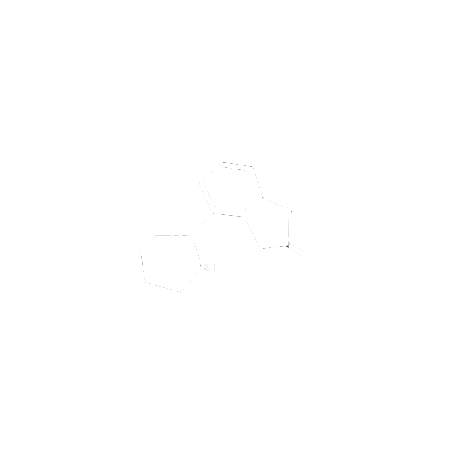 O=C1Cc2c(cccc2C2CCCCN2)N1